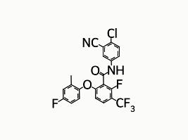 Cc1cc(F)ccc1Oc1ccc(C(F)(F)F)c(F)c1C(=O)Nc1ccc(Cl)c(C#N)c1